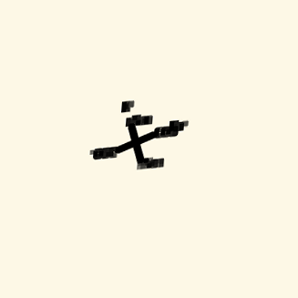 CCCCCCCCCC(CCCCCCCCC)(C(=O)[O-])C(=O)[O-].[K+].[Na+]